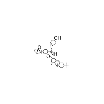 Cc1cc(C(=O)N[C@H](CCN2CCC(O)CC2)c2ccc(N3CCOC3=O)cc2)cc2cc3c(nc12)CCC(C(C)(C)C)C3